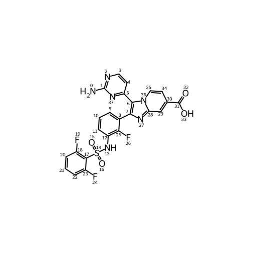 Nc1nccc(-c2c(-c3cccc(NS(=O)(=O)c4c(F)cccc4F)c3F)nc3cc(C(=O)O)ccn23)n1